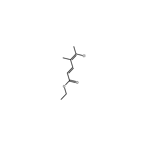 CCOC(=O)/C=C/C(C)=C(/C)Cl